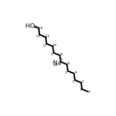 CCCCCCCCCCCCCCCO.[Na]